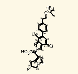 CC(C)(C)[Si](C)(C)OCCc1ccc(-c2cc(Cl)c3cn(C(C(=O)O)c4ncn5c4C[C@@H](F)C5)nc3c2Cl)cc1